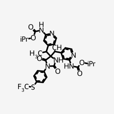 CC(C)OC(=O)Nc1cc(C(C)C2(C(C)c3ccnc(NC(=O)OC(C)C)c3)NC(=O)N(c3ccc(SC(F)(F)F)cc3)C2=O)ccn1